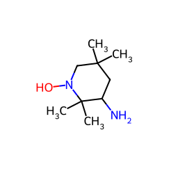 CC1(C)CC(N)C(C)(C)N(O)C1